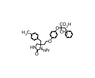 CCCN1C(=O)NCC1(CCOc1ccc(OC(C)(Cc2ccccc2)C(=O)O)cc1)Cc1ccc(C)cc1